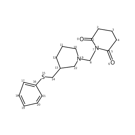 O=C1CCCC(=O)N1CN1CCCC(CSc2ccccc2)C1